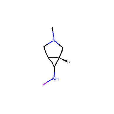 CN1CC2C(NI)[C@H]2C1